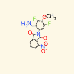 COc1c(F)cc(N2C(=O)c3cccc([N+](=O)[O-])c3C2=O)c(CN)c1F